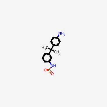 CC(C)(c1ccc(N)cc1)c1cccc(N[SH](=O)=O)c1